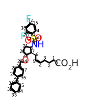 O=C(O)CCC/C=C\C[C@@H]1[C@@H](NS(=O)(=O)c2ccc(F)cc2F)CC[C@@H]1OCc1ccc(-c2ccccc2)cc1